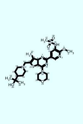 COc1ncc(C2=NC3C(C)=C(CN4CCC(C(C)(C)O)CC4)SC3C(N3CCOCC3)=N2)cc1NS(C)(=O)=O